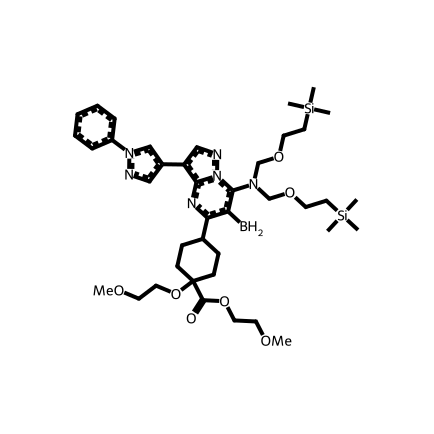 Bc1c(C2CCC(OCCOC)(C(=O)OCCOC)CC2)nc2c(-c3cnn(-c4ccccc4)c3)cnn2c1N(COCC[Si](C)(C)C)COCC[Si](C)(C)C